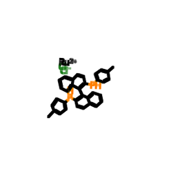 Cc1ccc(Pc2ccc3ccccc3c2-c2c(Pc3ccc(C)cc3)ccc3ccccc23)cc1.[Cl-].[Cl-].[Ru+2]